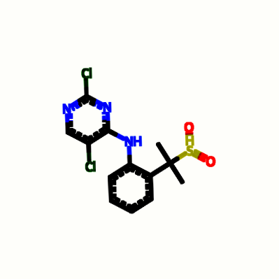 CC(C)(c1ccccc1Nc1nc(Cl)ncc1Cl)[SH](=O)=O